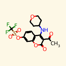 CC(=O)c1c(NC2CCOCC2)c2ccc(OS(=O)(=O)C(F)(F)F)cc2oc1=O